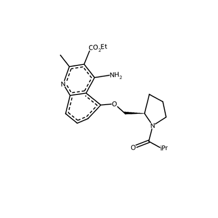 CCOC(=O)c1c(C)nc2cccc(OC[C@H]3CCCN3C(=O)C(C)C)c2c1N